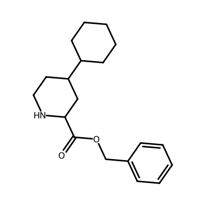 O=C(OCc1ccccc1)C1CC(C2CCCCC2)CCN1